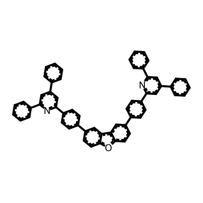 c1ccc(-c2cc(-c3ccccc3)nc(-c3ccc(-c4ccc5oc6ccc(-c7ccc(-c8cc(-c9ccccc9)cc(-c9ccccc9)n8)cc7)cc6c5c4)cc3)c2)cc1